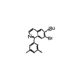 CCC(C)c1cc2ccnc(-c3cc(C)cc(C)c3)c2cc1Br